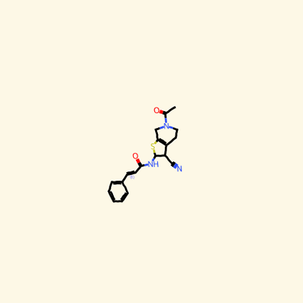 CC(=O)N1CCC2=C(C1)SC(NC(=O)/C=C/c1ccccc1)C2C#N